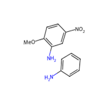 COc1ccc([N+](=O)[O-])cc1N.Nc1ccccc1